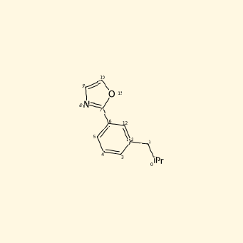 CC(C)Cc1cccc(-c2ncco2)c1